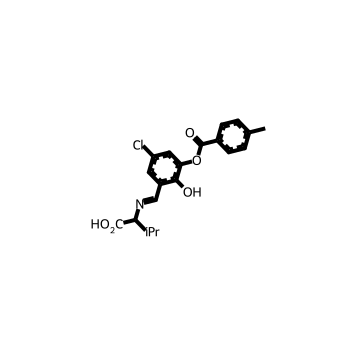 Cc1ccc(C(=O)Oc2cc(Cl)cc(C=NC(C(=O)O)C(C)C)c2O)cc1